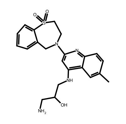 Cc1ccc2nc(N3CCS(=O)(=O)c4ccccc4C3)cc(NCC(O)CN)c2c1